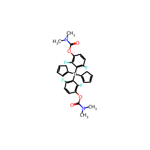 CN(C)C(=O)Oc1ccc(F)[c]([Ti]([C]2=CC=CC2)([C]2=CC=CC2)[c]2c(F)ccc(OC(=O)N(C)C)c2F)c1F